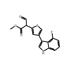 COC(=O)C(C=O)c1cc(-c2c[nH]c3cccc(F)c23)cs1